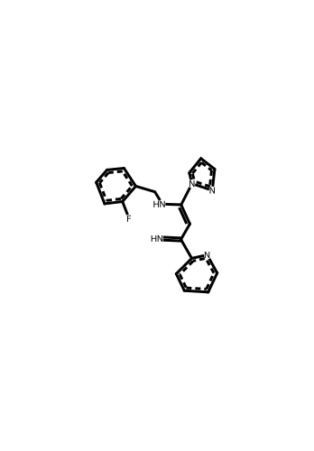 N=C(/C=C(\NCc1ccccc1F)n1cccn1)c1ccccn1